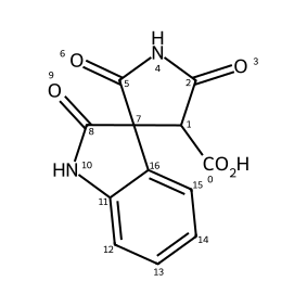 O=C(O)C1C(=O)NC(=O)C12C(=O)Nc1ccccc12